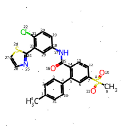 Cc1ccc(-c2cc(S(C)(=O)=O)ccc2C(=O)Nc2ccc(Cl)c(-c3nccs3)c2)cc1